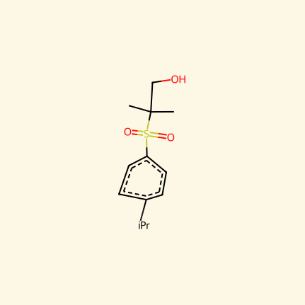 CC(C)c1ccc(S(=O)(=O)C(C)(C)CO)cc1